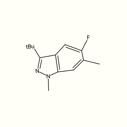 Cc1cc2c(cc1F)c(C(C)(C)C)nn2C